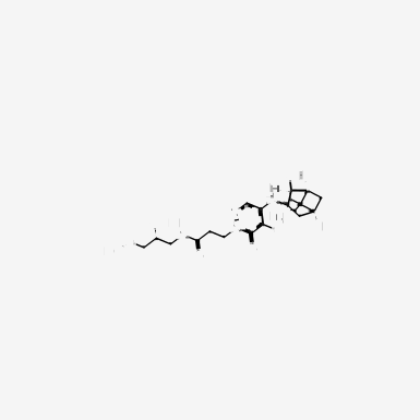 COC[C@@H](O)CNC(=O)CCn1ncc(N[C@@H]2C[C@H]3C[C@H]([C@@H]2C)C3(C)C)c(Cl)c1=O